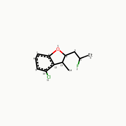 CCC(F)CC1Oc2cccc(Cl)c2C1C